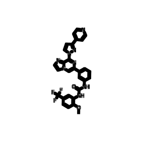 COc1ccc(C(F)(F)F)cc1NC(=O)Nc1cccc(-c2cn3ccnc3c(-n3ccc(-c4ccncc4)n3)n2)c1